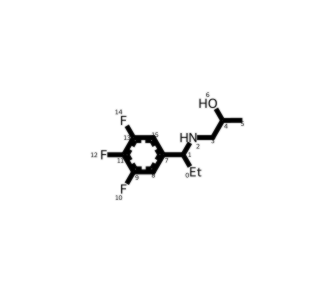 CCC(NCC(C)O)c1cc(F)c(F)c(F)c1